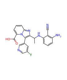 CC(Nc1cccc(N)c1C#N)c1nc2cccc(C(=O)O)n2c1-c1cncc(F)c1